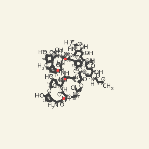 CC(=O)CC(=O)NC1[C@H](Oc2c3cc4cc2Oc2ccc(cc2Cl)[C@@H](O[C@@H]2OC(CO)[C@@H](O)C(O)C2NC(C)=O)[C@@H]2NC(=O)[C@H](NC(=O)[C@@H]4NC(=O)[C@H]4NC(=O)[C@@H](Cc5ccc(c(Cl)c5)O3)NC(=O)[C@H](N)c3ccc(O)c(c3)Oc3cc(O)cc4c3)c3ccc(I)c(c3)-c3c(C)cc(O)cc3[C@@H](C(=O)O)NC2=O)OC(CO)[C@@H](O)[C@@H]1O